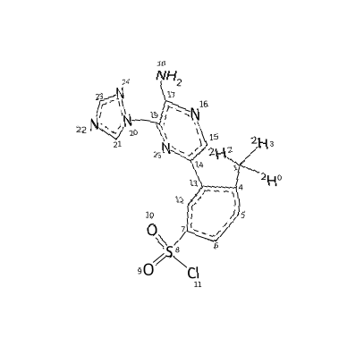 [2H]C([2H])([2H])c1ccc(S(=O)(=O)Cl)cc1-c1cnc(N)c(-n2cncn2)n1